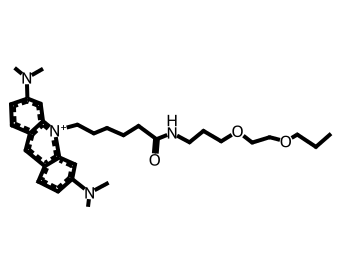 CCCOCCOCCCNC(=O)CCCCC[n+]1c2cc(N(C)C)ccc2cc2ccc(N(C)C)cc21